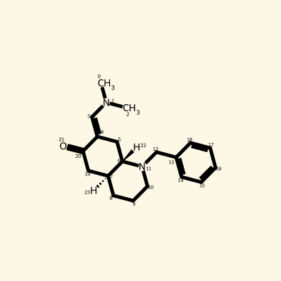 CN(C)C=C1C[C@H]2[C@@H](CCCN2Cc2ccccc2)CC1=O